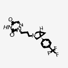 O=c1cnn(CCCN2C[C@@H]3C[C@@]3(c3ccc(C(F)(F)F)cc3)C2)c(=O)[nH]1